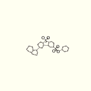 O=S(=O)(Oc1ccccc1)c1ccc2c(c1)-c1cc(-c3cccc4ccccc34)ccc1S2(=O)=O